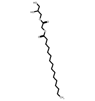 CCCCCCCCCCCCCCCC(=O)OCC(=O)OCC(O)CO